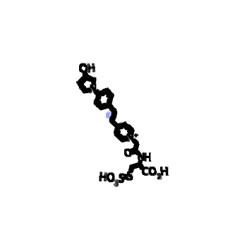 O=C(C[n+]1ccc(/C=C/c2ccc(N3CCC(O)C3)cc2)cc1)NC(CSS(=O)(=O)O)C(=O)O